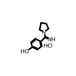 Cl.N=C(c1ccc(O)cc1)N1CCCC1